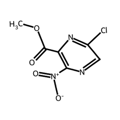 COC(=O)c1nc(Cl)cnc1[N+](=O)[O-]